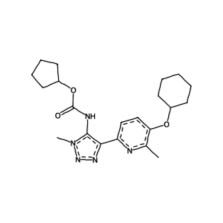 Cc1nc(-c2nnn(C)c2NC(=O)OC2CCCC2)ccc1OC1CCCCC1